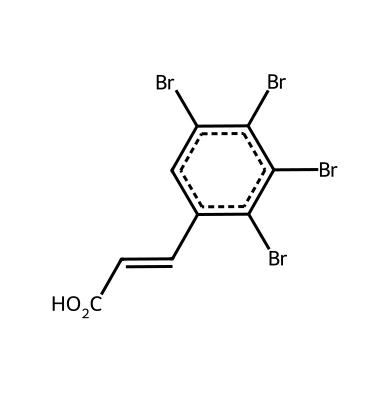 O=C(O)C=Cc1cc(Br)c(Br)c(Br)c1Br